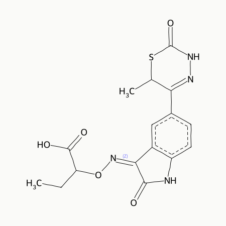 CCC(O/N=C1\C(=O)Nc2ccc(C3=NNC(=O)SC3C)cc21)C(=O)O